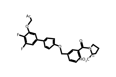 CC(=O)COc1cc(-c2ccc(OCc3cccc(C(=O)N4CCC[C@H]4C(=O)O)c3)cc2)cc(F)c1F